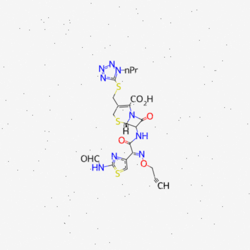 C#CCON=C(C(=O)NC1C(=O)N2C(C(=O)O)=C(CSc3nnnn3CCC)CS[C@@H]12)c1csc(NC=O)n1